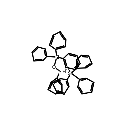 c1ccc([SiH](O[Si](c2ccccc2)(c2ccccc2)c2ccccc2)O[Si](c2ccccc2)(c2ccccc2)c2ccccc2)cc1